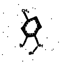 Cc1ccc(NC(C)(C)C)c(Br)c1